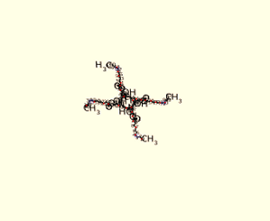 CCC/C=C\CCCCCCC(=O)OCC(O)CN1CCCN(CC(O)COC(=O)CCCCCC/C=C\CCC)CCN(CC(O)COC(=O)CCCCCC/C=C\CCC)CCCN(CC(O)COC(=O)CCCCCC/C=C\CCC)CC1